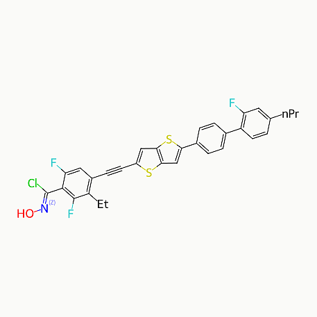 CCCc1ccc(-c2ccc(-c3cc4sc(C#Cc5cc(F)c(/C(Cl)=N/O)c(F)c5CC)cc4s3)cc2)c(F)c1